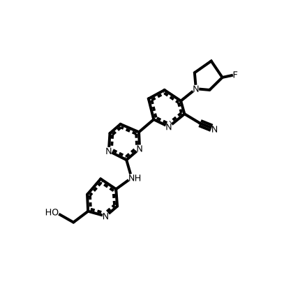 N#Cc1nc(-c2ccnc(Nc3ccc(CO)nc3)n2)ccc1N1CCC(F)C1